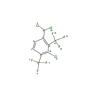 FC(F)(F)c1c[c]c(C(Cl)Cl)c(C(F)(F)F)c1Cl